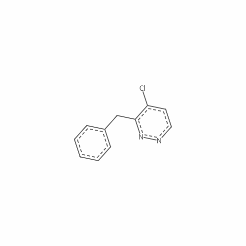 Clc1ccnnc1Cc1ccccc1